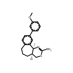 COc1cccc(-c2ccc3c(c2)[C@@]2(C)N=C(N)SC[C@H]2CCC3)c1